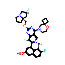 CCc1c(F)ccc2cc(O)cc(-c3ncc4c(N5CCOC6(CCC6)C5)nc(OC[C@@]56CCCN5C[C@H](F)C6)nc4c3F)c12